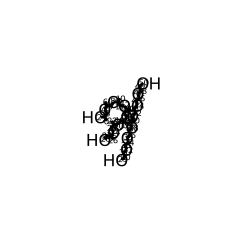 CC(O)COC(C)COC(C)COC(C)COC(C)COC(C)COC(C)CO.OCCOCCOCCOCCOCCOCCOCCO